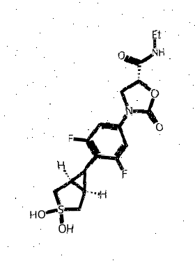 CCNC(=O)[C@H]1CN(c2cc(F)c(C3[C@H]4CS(O)(O)C[C@@H]34)c(F)c2)C(=O)O1